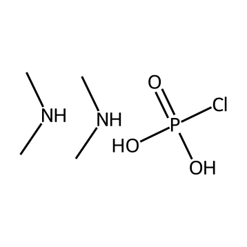 CNC.CNC.O=P(O)(O)Cl